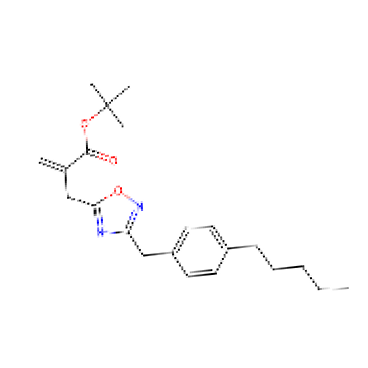 C=C(Cc1nc(Cc2ccc(CCCCC)cc2)no1)C(=O)OC(C)(C)C